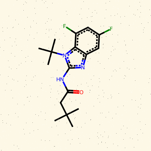 CC(C)(C)CC(=O)Nc1nc2cc(F)cc(F)c2n1C(C)(C)C